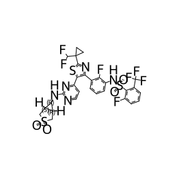 O=S1(=O)C[C@@H]2[C@H](C1)[C@H]2Nc1nccc(-c2sc(C3(C(F)F)CC3)nc2-c2cccc(NS(=O)(=O)c3c(F)cccc3C(F)(F)F)c2F)n1